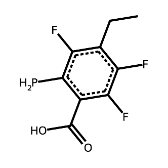 CCc1c(F)c(F)c(C(=O)O)c(P)c1F